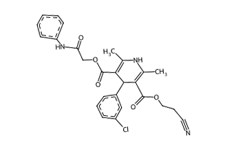 CC1=C(C(=O)OCCC#N)C(c2cccc(Cl)c2)C(C(=O)OCC(=O)Nc2ccccc2)=C(C)N1